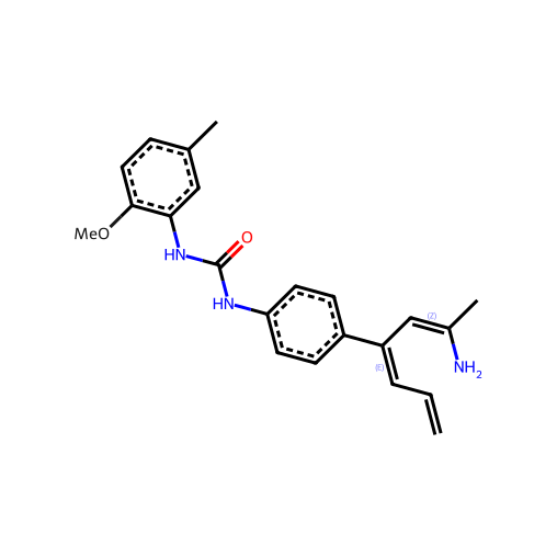 C=C/C=C(\C=C(\C)N)c1ccc(NC(=O)Nc2cc(C)ccc2OC)cc1